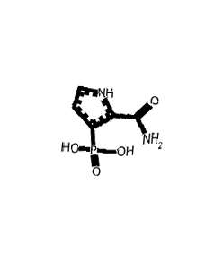 NC(=O)c1[nH]ccc1P(=O)(O)O